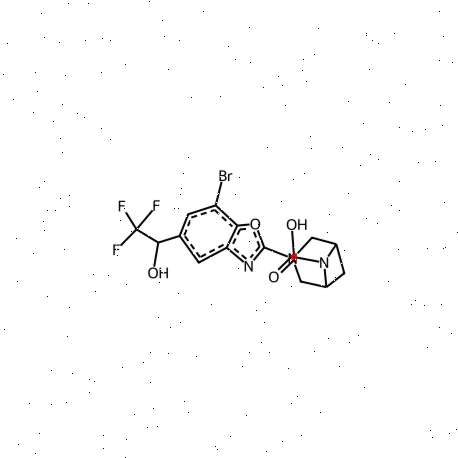 O=C(O)N1C2CC1CN(c1nc3cc(C(O)C(F)(F)F)cc(Br)c3o1)C2